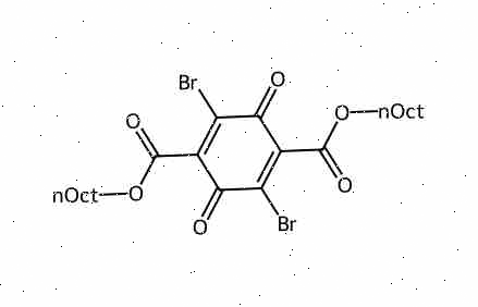 CCCCCCCCOC(=O)C1=C(Br)C(=O)C(C(=O)OCCCCCCCC)=C(Br)C1=O